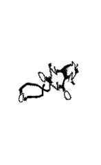 Cn1cnc2c1c(=O)n(CC1(C)CCOCC1)c(=O)n2C